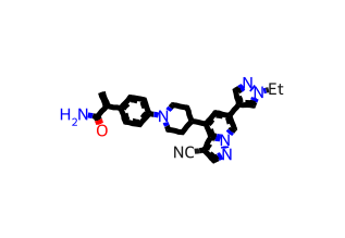 C=C(C(N)=O)c1ccc(N2CCC(c3cc(-c4cnn(CC)c4)cn4ncc(C#N)c34)CC2)cc1